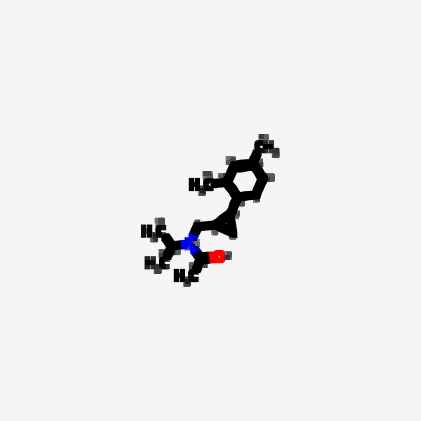 CC(=O)N(CC1CC1C1CCC(C)=CC1C)C(C)C